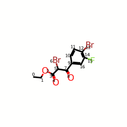 CCOC(=O)C(Br)C(=O)c1ccc(Br)c(F)c1